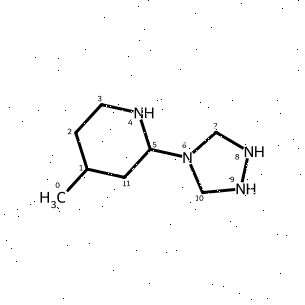 CC1CCNC(N2CNNC2)C1